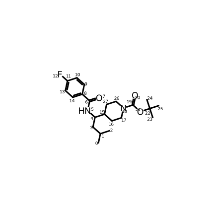 CC(C)CC(NC(=O)c1ccc(F)cc1)C1CCN(C(=O)OC(C)(C)C)CC1